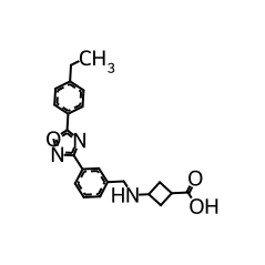 CCc1ccc(-c2nc(-c3cccc(CNC4CC(C(=O)O)C4)c3)no2)cc1